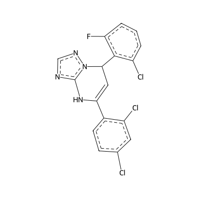 Fc1cccc(Cl)c1C1C=C(c2ccc(Cl)cc2Cl)Nc2ncnn21